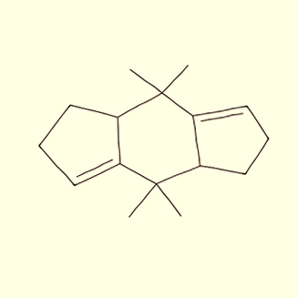 CC1(C)C2=CCCC2C(C)(C)C2=CCCC21